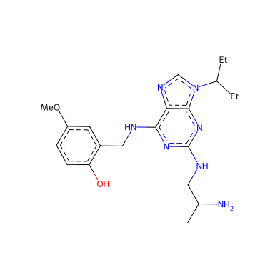 CCC(CC)n1cnc2c(NCc3cc(OC)ccc3O)nc(NCC(C)N)nc21